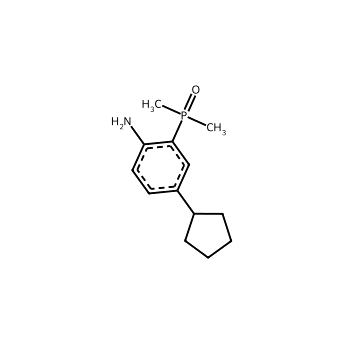 CP(C)(=O)c1cc(C2CCCC2)ccc1N